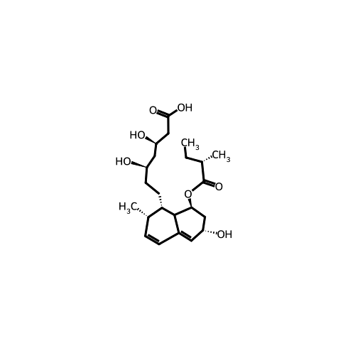 CC[C@H](C)C(=O)O[C@H]1C[C@H](O)C=C2C=C[C@H](C)[C@H](CC[C@@H](O)C[C@@H](O)CC(=O)O)C21